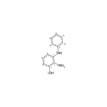 Nc1c(O)cccc1Nc1ccccc1